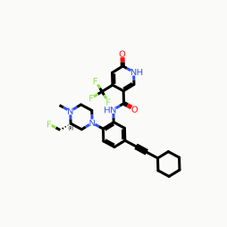 CN1CCN(c2ccc(C#CC3CCCCC3)cc2NC(=O)c2c[nH]c(=O)cc2C(F)(F)F)C[C@@H]1CF